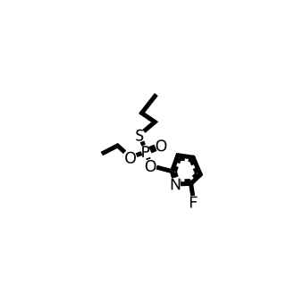 CCCSP(=O)(OCC)Oc1cccc(F)n1